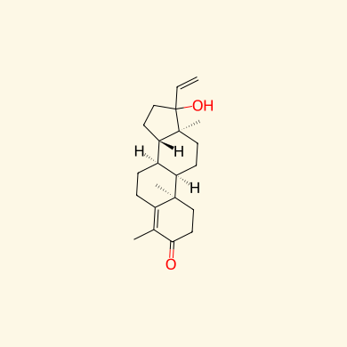 C=CC1(O)CC[C@H]2[C@@H]3CCC4=C(C)C(=O)CC[C@]4(C)[C@@H]3CC[C@@]21C